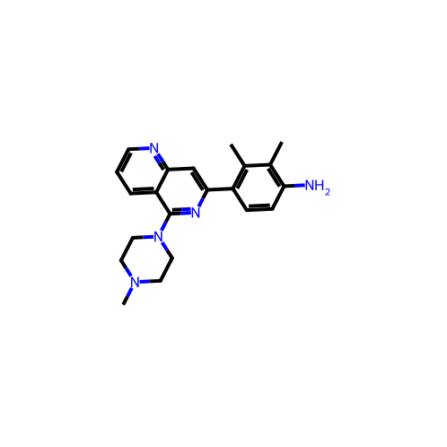 Cc1c(N)ccc(-c2cc3ncccc3c(N3CCN(C)CC3)n2)c1C